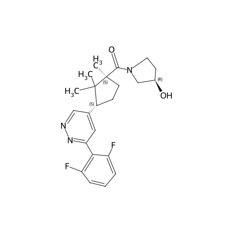 CC1(C)[C@@H](c2cnnc(-c3c(F)cccc3F)c2)CC[C@]1(C)C(=O)N1CC[C@@H](O)C1